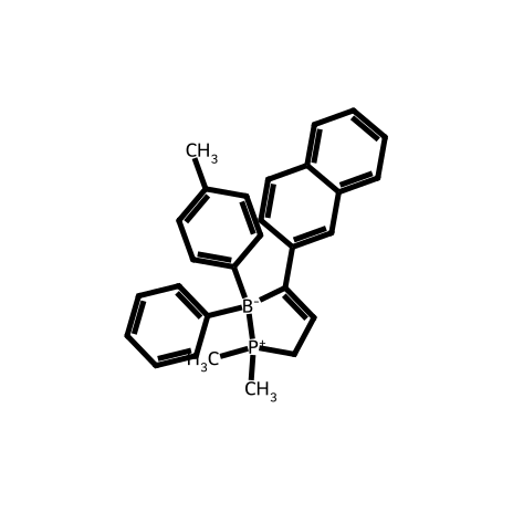 Cc1ccc([B-]2(c3ccccc3)C(c3ccc4ccccc4c3)=CC[P+]2(C)C)cc1